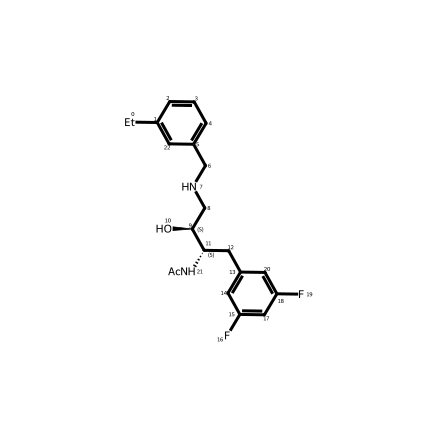 CCc1cccc(CNC[C@H](O)[C@H](Cc2cc(F)cc(F)c2)NC(C)=O)c1